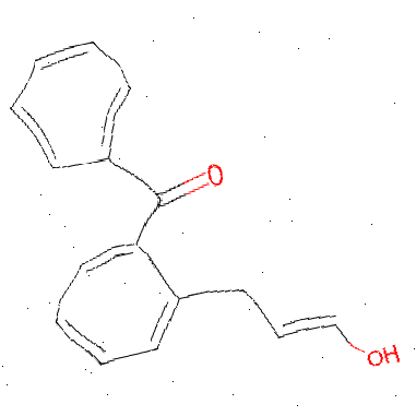 O=C(c1ccccc1)c1ccccc1CC=CO